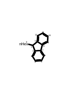 CCCCCCC1c2c[c]ccc2-c2ccccc21